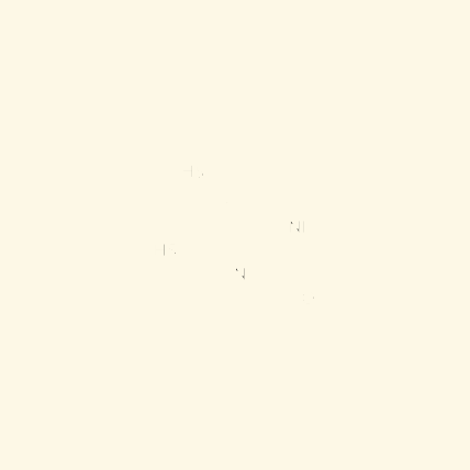 O=c1nc(S)c(S)c[nH]1